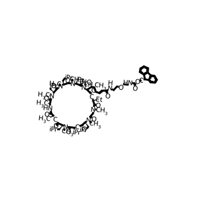 CC[C@@H]1CC(=O)[C@H]([C@H](O)[C@H](C)C/C=C/C(=O)NCCOCCNC(=O)OCC2c3ccccc3-c3ccccc32)N(C)C(=O)[C@H](C(C)C)N(C)C(=O)[C@H](CC(C)C)N(C)C(=O)[C@H](CC(C)C)N(C)C(=O)[C@@H](C)NC(=O)[C@H](C)CC(=O)[C@H](CC(C)C)N(C)C(=O)[C@H](C(C)C)CC(=O)[C@H](CC(C)C)N(C)C(=O)CN(C)C1=O